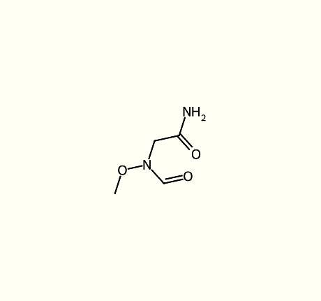 CON(C=O)CC(N)=O